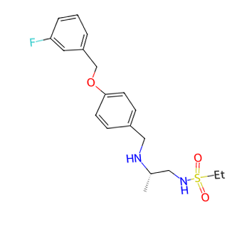 CCS(=O)(=O)NC[C@H](C)NCc1ccc(OCc2cccc(F)c2)cc1